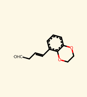 O=[C]CC=Cc1cccc2c1OCCO2